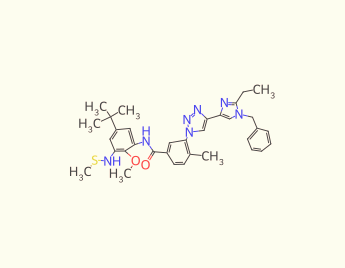 CCc1nc(-c2cn(-c3cc(C(=O)Nc4cc(C(C)(C)C)cc(NSC)c4OC)ccc3C)nn2)cn1Cc1ccccc1